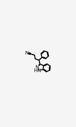 N#CCCC(c1ccccc1)c1n[nH]c2ccccc12